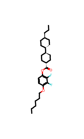 CCCCCCOc1ccc(OC(=O)[C@H]2CC[C@H]([C@H]3CC[C@H](CCC)CC3)CC2)c(F)c1F